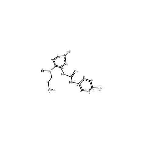 CCN(CCOC)c1ccc(Br)cc1NC(=O)Nc1cnc(C#N)cn1